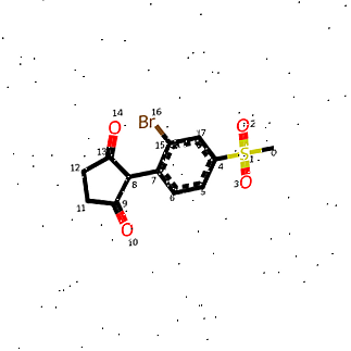 CS(=O)(=O)c1ccc(C2C(=O)CCC2=O)c(Br)c1